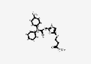 COC(=O)CCSc1cnc(NC(=O)N(C2CCCCC2)C2CCC(C)CC2)s1